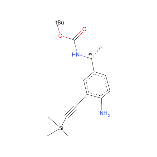 C[C@@H](NC(=O)OC(C)(C)C)c1ccc(N)c(C#C[Si](C)(C)C)c1